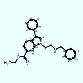 CCOC(=O)c1ccc2c(-c3ccccc3)cn(CCOCc3ccccc3)c2n1